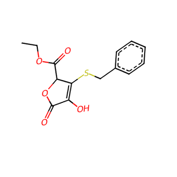 CCOC(=O)C1OC(=O)C(O)=C1SCc1ccccc1